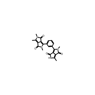 CC1=C2C(=O)N(C)C(c3cccc(C4=C5C(=O)N(C)C(C)=C5C(=O)N4C)c3)=C2C(=O)N1